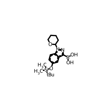 CC(C)(C)[Si](C)(C)Oc1ccc2c(c1)c(B(O)O)nn2C1CCCCO1